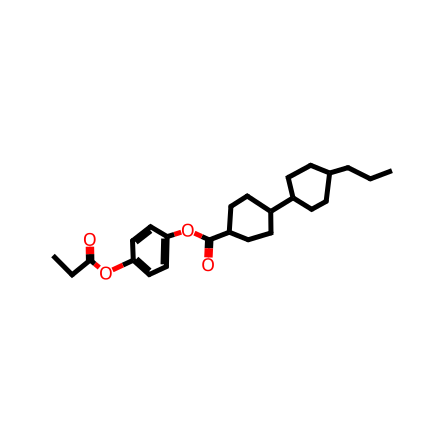 CCCC1CCC(C2CCC(C(=O)Oc3ccc(OC(=O)CC)cc3)CC2)CC1